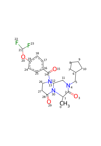 CC1C(=O)N(CC2CCCC2)CC2N(C(=O)c3ccc(OC(F)F)cc3)CCC(=O)N12